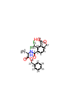 CC(C)C(NC(=O)c1ccc2c(c1C(F)F)B(O)OC2)C(=O)OCc1ccccc1